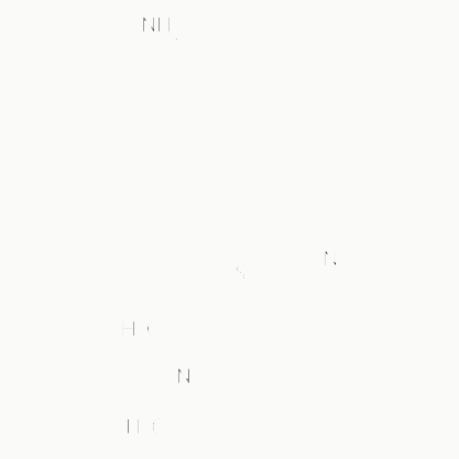 CN(C)Cc1cnc(-c2cccc(CN)c2)s1